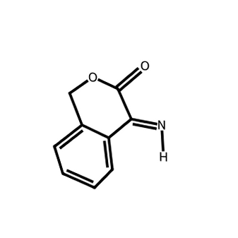 [H]/N=C1/C(=O)OCc2ccccc21